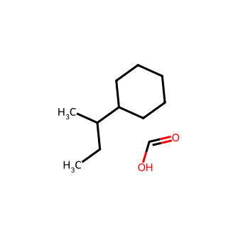 CCC(C)C1CCCCC1.O=CO